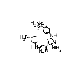 Nc1nc(Nc2ccc(S(N)(=O)=O)cc2)nn1-c1cc(NC2CCCC(N)C2)ncn1